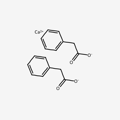 O=C([O-])Cc1ccccc1.O=C([O-])Cc1ccccc1.[Ca+2]